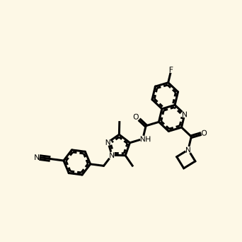 Cc1nn(Cc2ccc(C#N)cc2)c(C)c1NC(=O)c1cc(C(=O)N2CCC2)nc2cc(F)ccc12